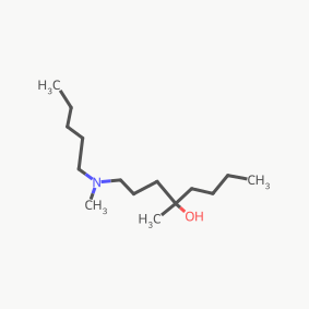 CCCCCN(C)CCCC(C)(O)CCCC